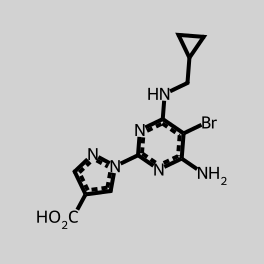 Nc1nc(-n2cc(C(=O)O)cn2)nc(NCC2CC2)c1Br